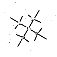 C[Si](C)(C)[Ta]([Si](C)(C)C)([Si](C)(C)C)[Si](C)(C)C